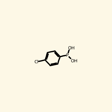 OP(O)c1ccc(Cl)cc1